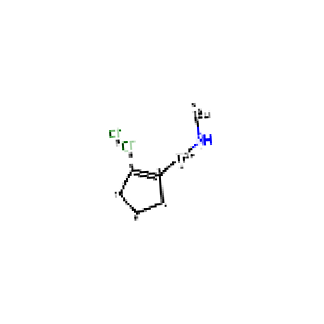 CC(C)(C)[NH][Ti+2][C]1=CCCC1.[Cl-].[Cl-]